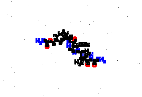 CC(C)COc1c(C(=O)N[C@@H]2C3CC4C[C@@H](COC(N)=O)CC2(C4)C3)cnn1/C=C/C(C)(C)C(=O)NC(N)=O